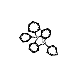 c1ccc([SiH]2c3ccccc3S(c3ccccc3)(c3ccccc3)c3ccccc32)cc1